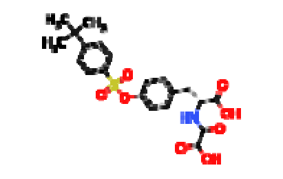 CC(C)(C)c1ccc(S(=O)(=O)Oc2ccc(C[C@@H](NC(=O)C(=O)O)C(=O)O)cc2)cc1